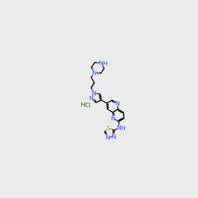 Cl.c1nnc(Nc2ccc3ncc(-c4cnn(CCCN5CCNCC5)c4)cc3n2)s1